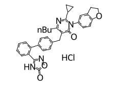 CCCCc1nc(C2CC2)n(-c2ccc3c(c2)CCO3)c(=O)c1Cc1ccc(-c2ccccc2-c2noc(=O)[nH]2)cc1.Cl